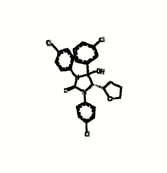 O=C1N(c2ccc(Cl)cc2)[C@@H](C2CCCO2)C(O)(c2cccc(Cl)c2)N1c1ccc(Cl)cc1